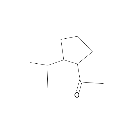 CC(=O)C1CCCC1C(C)C